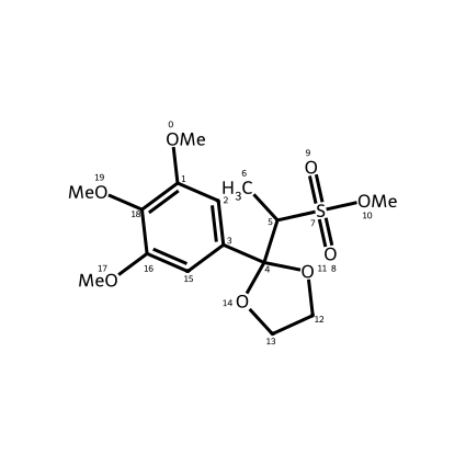 COc1cc(C2(C(C)S(=O)(=O)OC)OCCO2)cc(OC)c1OC